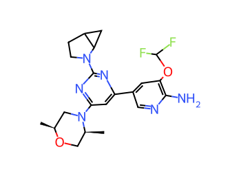 C[C@H]1CN(c2cc(-c3cnc(N)c(OC(F)F)c3)nc(N3CCC4CC43)n2)[C@@H](C)CO1